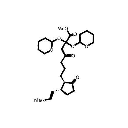 CCCCCC/C=C/[C@H]1CCC(=O)[C@@H]1CCCC(=O)CC(OC1CCCCO1)(OC1CCCCO1)C(=O)OC